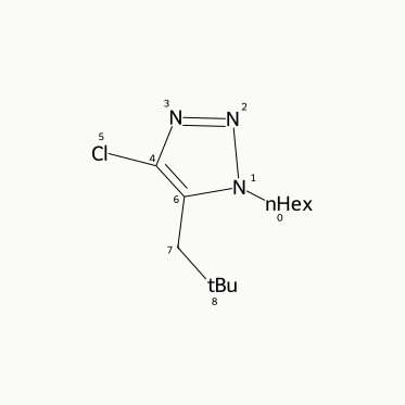 CCCCCCn1nnc(Cl)c1CC(C)(C)C